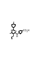 C=CCc1c(C)nc(-c2ccc(C)cc2)nc1Nc1ccc(C(=O)O)cc1